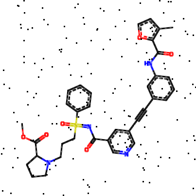 COC(=O)C1CCCN1CCCS(=O)(=NC(=O)c1cncc(C#Cc2cccc(NC(=O)c3occc3C)c2)c1)c1ccccc1